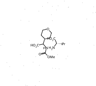 CC(C)[C@H](N)C(=O)O.COC(=O)NC(C(=O)O)C1CCOCC1